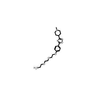 CN1CCC(c2noc(-c3ccc(OCCOCCOCCN)cc3)n2)CC1